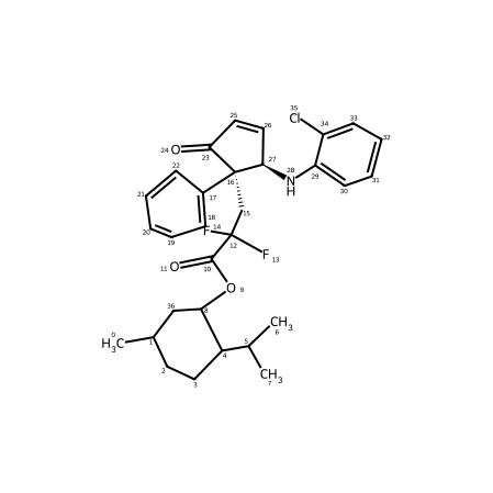 CC1CCC(C(C)C)C(OC(=O)C(F)(F)C[C@]2(c3ccccc3)C(=O)C=C[C@H]2Nc2ccccc2Cl)C1